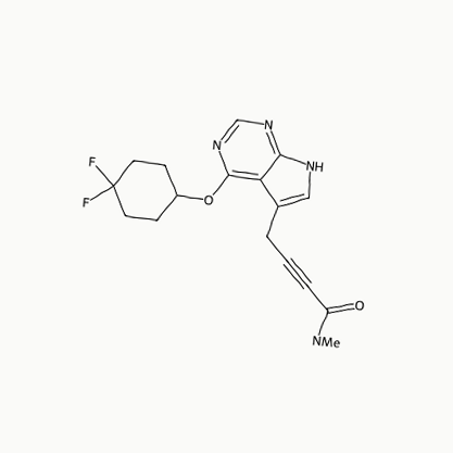 CNC(=O)C#CCc1c[nH]c2ncnc(OC3CCC(F)(F)CC3)c12